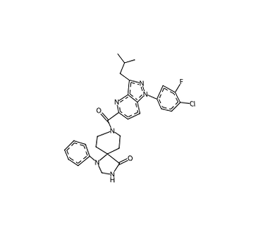 CC(C)Cc1nn(-c2ccc(Cl)c(F)c2)c2ccc(C(=O)N3CCC4(CC3)C(=O)NCN4c3ccccc3)nc12